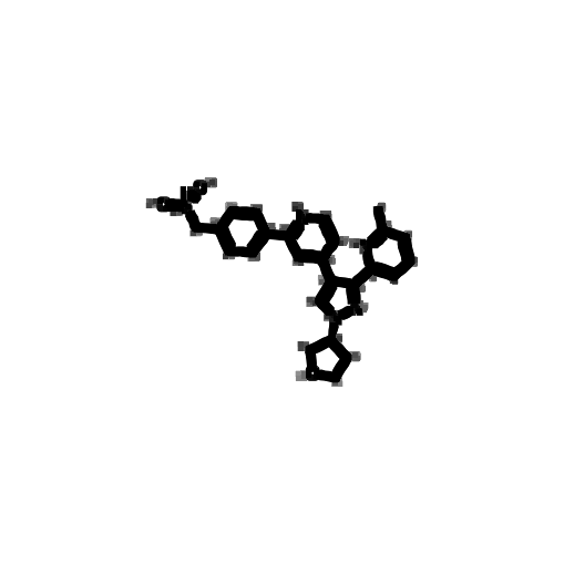 Cc1cccc(-c2nn([C@H]3CCOC3)cc2-c2ccnc(-c3ccc(C[SH](=O)=O)cc3)c2)n1